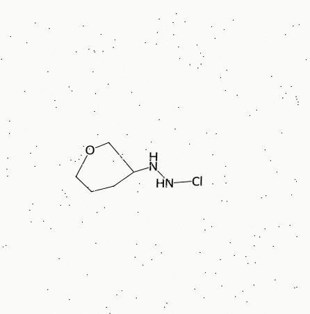 ClNNC1CCCOC1